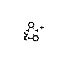 Cn1ccnc1-c1ccccc1NN(C(=O)OC(C)(C)C)c1ccccc1-c1nccn1C